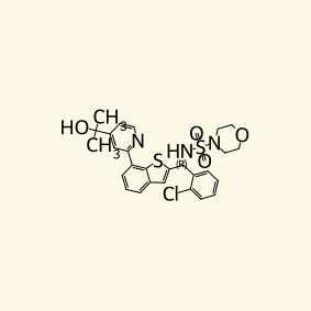 CC(C)(O)c1ccnc(-c2cccc3cc([C@H](NS(=O)(=O)N4CCOCC4)c4ccccc4Cl)sc23)c1